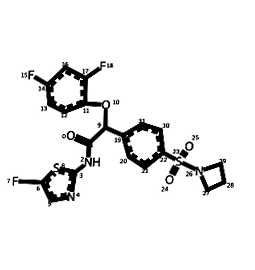 O=C(Nc1ncc(F)s1)C(Oc1ccc(F)cc1F)c1ccc(S(=O)(=O)N2CCC2)cc1